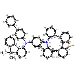 C[Si]1(C)c2ccccc2-c2c(N(c3ccc(-c4ccccc4)cc3)c3ccc4c(c3)c3cccc5c6cccc7sc8cccc(c9ccccc9n4c53)c8c76)cccc21